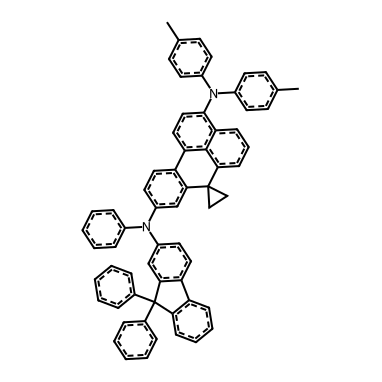 Cc1ccc(N(c2ccc(C)cc2)c2ccc3c4c(cccc24)C2(CC2)c2cc(N(c4ccccc4)c4ccc5c(c4)C(c4ccccc4)(c4ccccc4)c4ccccc4-5)ccc2-3)cc1